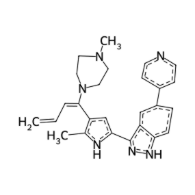 C=C/C=C(\c1cc(-c2n[nH]c3ccc(-c4ccncc4)cc23)[nH]c1C)N1CCN(C)CC1